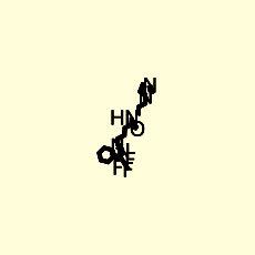 O=C(CCCn1nc(C(F)(F)F)c2c1CCCC2)NCCCn1ccnc1